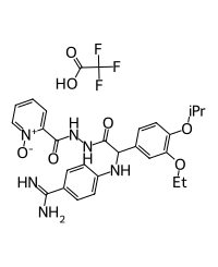 CCOc1cc(C(Nc2ccc(C(=N)N)cc2)C(=O)NNC(=O)c2cccc[n+]2[O-])ccc1OC(C)C.O=C(O)C(F)(F)F